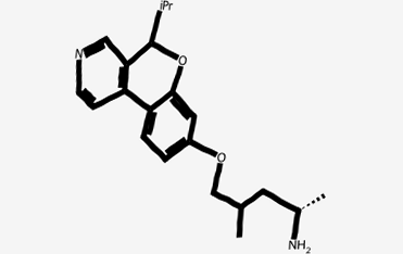 CC(COc1ccc2c(c1)OC(C(C)C)c1cnccc1-2)C[C@H](C)N